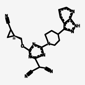 N#CC(C#N)c1nc(OC[C@H]2CC2C#N)nc(N2CCC(c3n[nH]c4ncccc34)CC2)n1